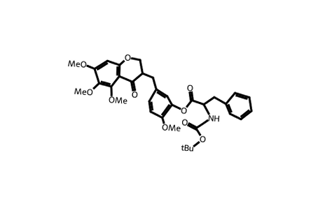 COc1ccc(CC2COc3cc(OC)c(OC)c(OC)c3C2=O)cc1OC(=O)C(Cc1ccccc1)NC(=O)OC(C)(C)C